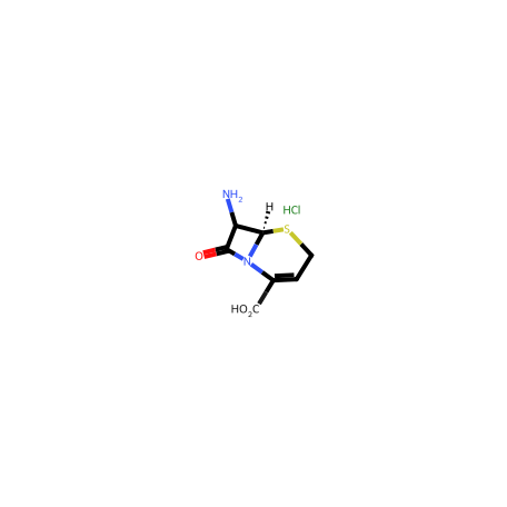 Cl.NC1C(=O)N2C(C(=O)O)=CCS[C@H]12